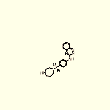 O=S(=O)(c1ccc(Nc2nnc3ccccc3n2)cc1)N1CCCNCC1